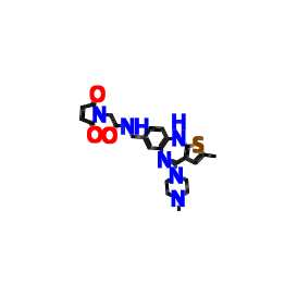 Cc1cc2c(s1)Nc1ccc(CNC(=O)CN3C(=O)C=CC3=O)cc1N=C2N1CCN(C)CC1